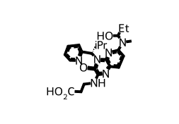 CCC(O)N(C)c1ccc2nc(NCCC(=O)O)c(=O)n([C@H](c3ccccn3)C(C)C)c2n1